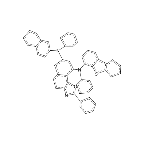 c1ccc(-c2nc3ccc4cc(N(c5ccccc5)c5ccc6ccccc6c5)cc(N(c5ccccc5)c5cccc6c5sc5ccccc56)c4c3o2)cc1